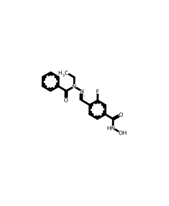 CCN(/N=C/c1ccc(C(=O)NO)cc1F)C(=O)c1ccccc1